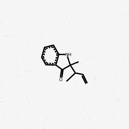 C=CC(C)C1(C)Nc2ccccc2C1=O